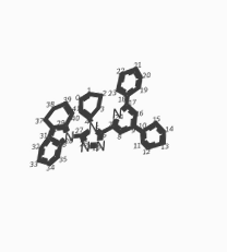 C1=CCCC(n2c(-c3cc(-c4ccccc4)cc(-c4ccccc4)n3)nnc2-n2c3c(c4ccccc42)CCC=C3)=C1